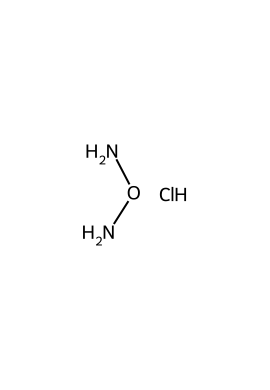 Cl.NON